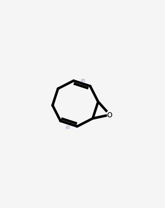 C1=C\C2OC2/C=C\CC/1